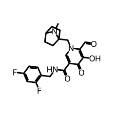 CN1C2CCC1(Cn1cc(C(=O)NCc3ccc(F)cc3F)c(=O)c(O)c1C=O)CC2